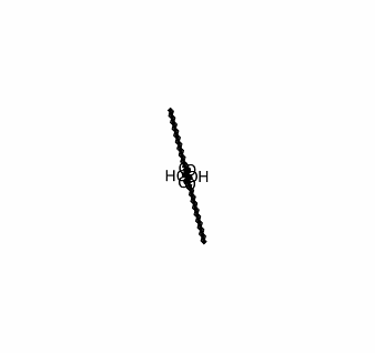 CCCCCCCCCCCCCCCCCCOC(=O)C(O)C(O)C(=O)OCCCCCCCCCCCCCCCCCC